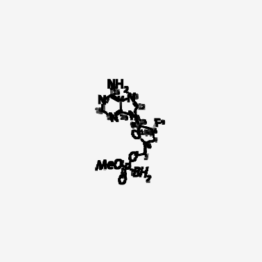 BP(=O)(OC)OC[C@@H]1C[C@@H](F)[C@H](n2cnc3c(N)ncnc32)O1